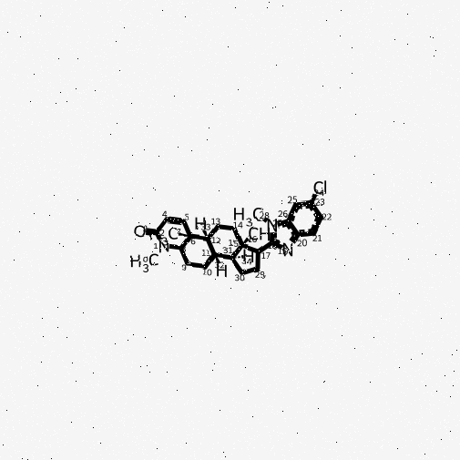 CN1C(=O)C=C[C@@]2(C)C1CC[C@@H]1[C@H]2CC[C@]2(C)C(c3nc4ccc(Cl)cc4n3C)CC[C@@H]12